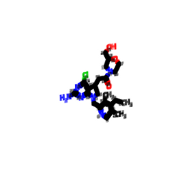 CCc1c(C)cnc(CN2CC(CC(=O)N3CCOC(CO)C3)c3c(Cl)nc(N)nc32)c1C